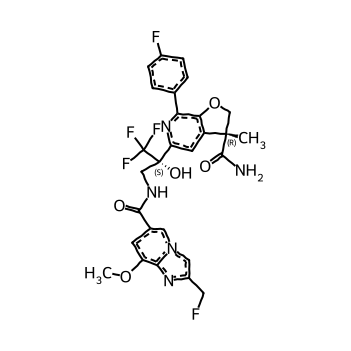 COc1cc(C(=O)NC[C@](O)(c2cc3c(c(-c4ccc(F)cc4)n2)OC[C@]3(C)C(N)=O)C(F)(F)F)cn2cc(CF)nc12